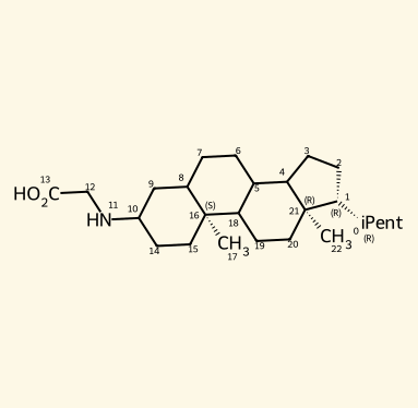 CCC[C@@H](C)[C@H]1CCC2C3CCC4CC(NCC(=O)O)CC[C@]4(C)C3CC[C@@]21C